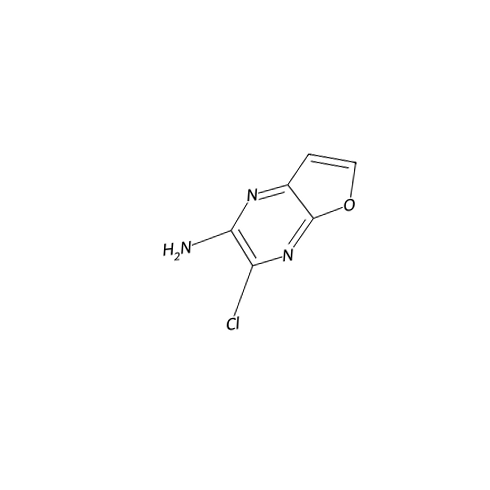 Nc1nc2ccoc2nc1Cl